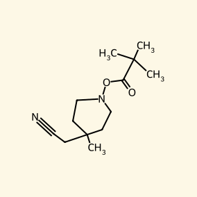 CC1(CC#N)CCN(OC(=O)C(C)(C)C)CC1